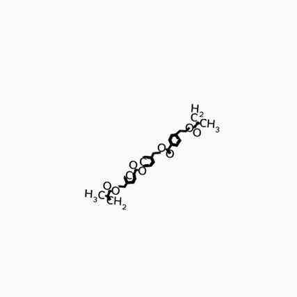 C=C(C)C(=O)OCCc1ccc(C(=O)OCCc2ccc(OC(=O)c3ccc(CCOC(=O)C(=C)C)cc3)cc2)cc1